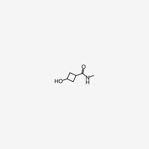 CNC(=O)C1CC(O)C1